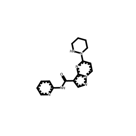 O=C(Nc1ccccn1)c1cnn2ccc(N3CCCCN3)nc12